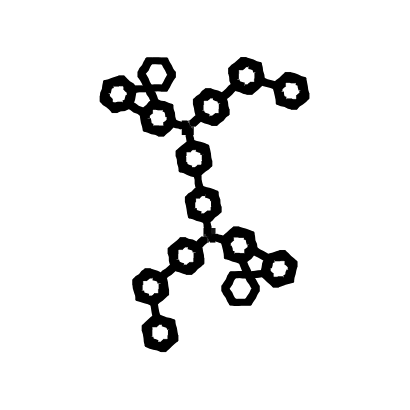 c1ccc(-c2cccc(-c3ccc(N(c4ccc(-c5ccc(N(c6ccc(-c7cccc(-c8ccccc8)c7)cc6)c6ccc7c(c6)C6(CCCCC6)c6ccccc6-7)cc5)cc4)c4ccc5c(c4)C4(CCCCC4)c4ccccc4-5)cc3)c2)cc1